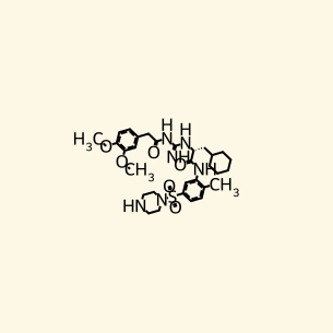 COc1ccc(CC(=O)NC(=N)N[C@H](CC2CCCCC2)C(=O)Nc2cc(S(=O)(=O)N3CCNCC3)ccc2C)cc1OC